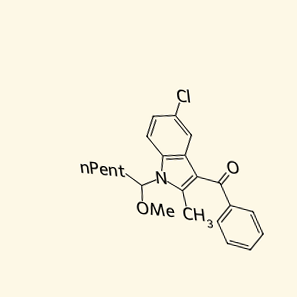 CCCCCC(OC)n1c(C)c(C(=O)c2ccccc2)c2cc(Cl)ccc21